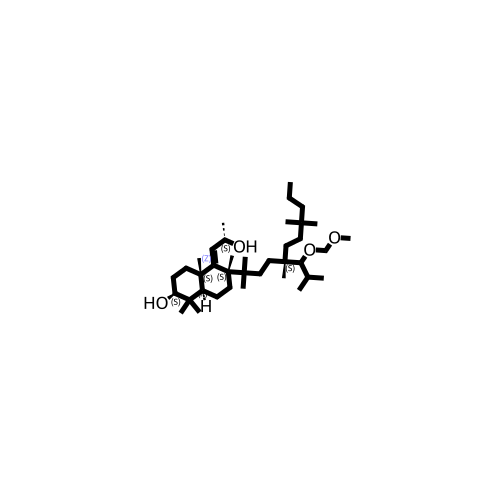 CCCC(C)(C)CC[C@@](C)(CCC(C)(C)[C@]1(C)CC[C@H]2C(C)(C)[C@@H](O)CC[C@]2(C)/C1=C/[C@H](C)O)C(OCOC)C(C)C